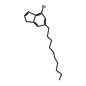 CCCCCCCCCCc1cc(Br)c2c(c1)CC=C2